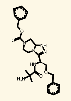 CC(C)(N)C(=O)N[C@H](COCc1ccccc1)C1=NNC2CN(C(=O)OCc3ccccc3)CCN12